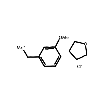 C1CCOC1.COc1cccc([CH2][Mg+])c1.[Cl-]